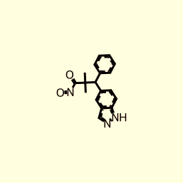 CC(C)(C(=O)N=O)C(c1ccccc1)c1ccc2[nH]ncc2c1